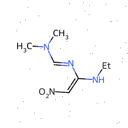 CCNC(=C[N+](=O)[O-])N=CN(C)C